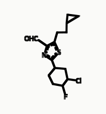 O=Cc1nc(C2CCC(F)C(Cl)C2)sc1CCC1CC1